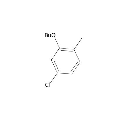 Cc1ccc(Cl)cc1OCC(C)C